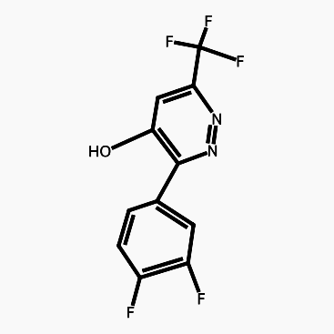 Oc1cc(C(F)(F)F)nnc1-c1ccc(F)c(F)c1